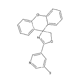 Fc1cncc(C2=NC3(CO2)c2ccccc2Oc2ccccc23)c1